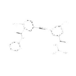 Cc1ccc(C#Cc2cc(C(=O)NC(=N)N)cc(C(F)(F)F)c2)cc1C(=O)Nc1ccccn1